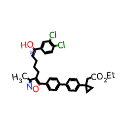 CCOC(=O)CC1(c2ccc(-c3ccc(-c4onc(C)c4CCC/C=C(/O)c4ccc(Cl)c(Cl)c4)cc3)cc2)CC1